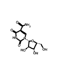 NC(=O)c1cn([C@@H]2O[C@H](CO)[C@H](O)[C@H]2O)c(=O)[nH]c1=O